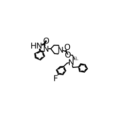 C[C@@H](COC(=O)N1CCC(n2c(=O)[nH]c3ccccc32)CC1)N(Cc1ccccc1)Cc1ccc(F)cc1